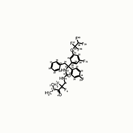 CN(C)C(=O)C(F)(F)CNC(=O)NC(Cc1ccccc1)(c1ccc(F)cc1)c1cc(F)cc(OC(F)(F)C(F)F)c1